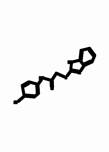 CC(C)c1ccc(NC(=O)CSc2nc3ccccc3[nH]2)cc1